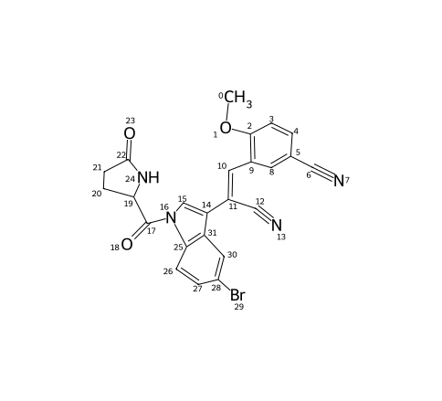 COc1ccc(C#N)cc1C=C(C#N)c1cn(C(=O)C2CCC(=O)N2)c2ccc(Br)cc12